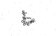 COc1nc(-c2cccc(-c3cccc(-c4cnc(CN5CC6(CCC(=O)N6)C5)c(OC)n4)c3Cl)c2F)cnc1CN1CC2(CC[S+]([O-])N2)C1